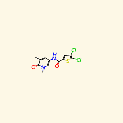 Cc1cc(NC(=O)c2cc(Cl)c(Cl)s2)cn(C)c1=O